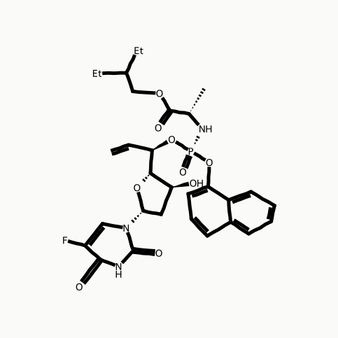 C=C[C@@H](O[P@@](=O)(N[C@@H](C)C(=O)OCC(CC)CC)Oc1cccc2ccccc12)[C@H]1O[C@@H](n2cc(F)c(=O)[nH]c2=O)C[C@@H]1O